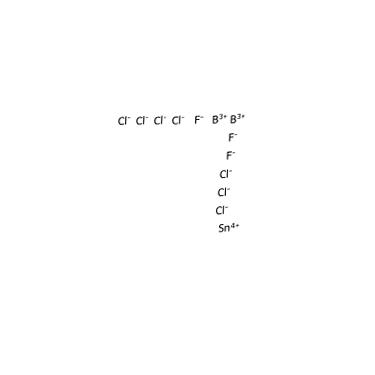 [B+3].[B+3].[Cl-].[Cl-].[Cl-].[Cl-].[Cl-].[Cl-].[Cl-].[F-].[F-].[F-].[Sn+4]